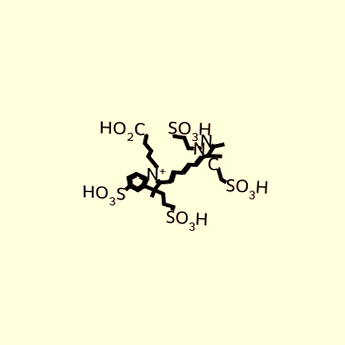 CC1=NN(CCCS(=O)(=O)O)\C(=C/C=C/C=C/C2=[N+](CCCCCC(=O)O)c3ccc(S(=O)(=O)O)cc3C2(C)CCCS(=O)(=O)O)C1(C)CCCS(=O)(=O)O